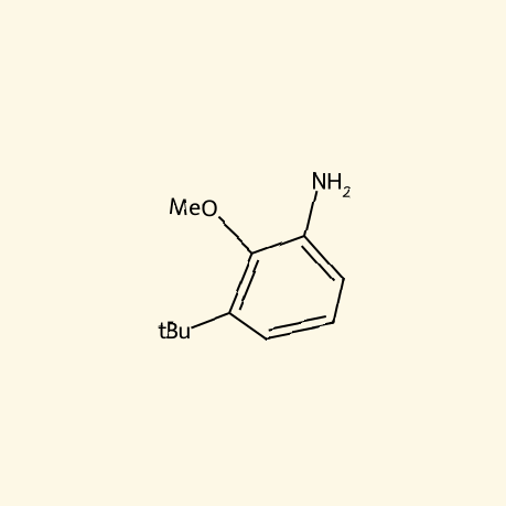 COc1c(N)cccc1C(C)(C)C